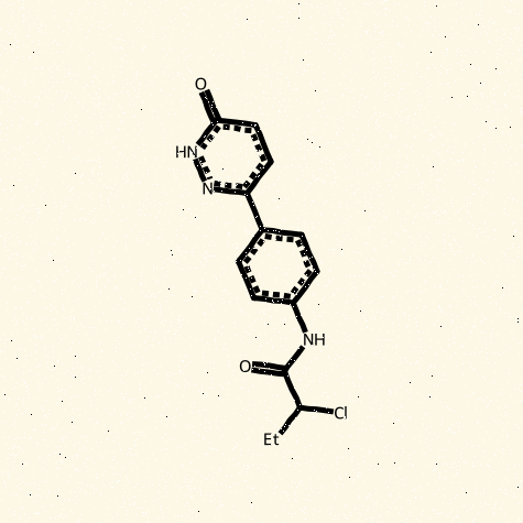 CCC(Cl)C(=O)Nc1ccc(-c2ccc(=O)[nH]n2)cc1